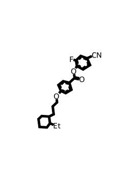 CCC1CCCCC1CCCOc1ccc(C(=O)Oc2ccc(C#N)cc2F)cc1